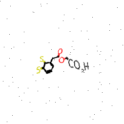 O=C(O)COC(=O)CC1=CC=CC(=S)C1=S